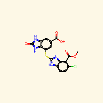 COC(=O)c1c(Cl)ccc2[nH]c(Sc3cc(C(=O)O)cc4[nH]c(=O)[nH]c34)nc12